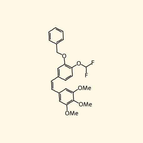 COc1cc(/C=C\c2ccc(OC(F)F)c(OCc3ccccc3)c2)cc(OC)c1OC